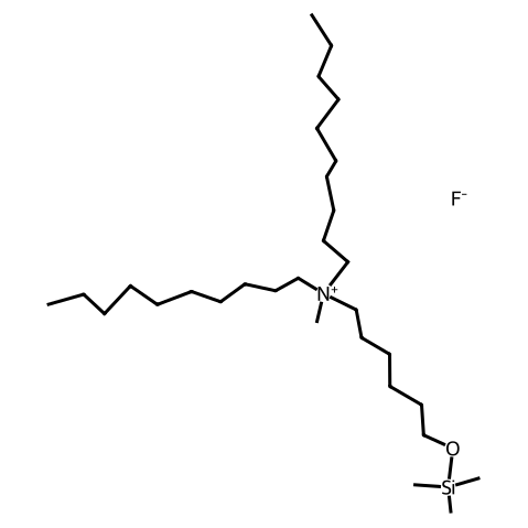 CCCCCCCCCC[N+](C)(CCCCCCCCCC)CCCCCCO[Si](C)(C)C.[F-]